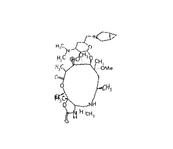 CC[C@H]1OC(=O)C(C)C(=O)[C@H](C)[C@@H](OC2OC(CN3CC4CC4C3)CC(N(C)C)C2O)[C@](C)(OC)C[C@@H](C)CN[C@H](C)[C@H]2NC(=O)O[C@@]21C